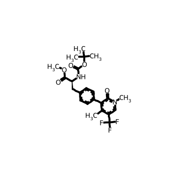 COC(=O)[C@H](Cc1ccc(-c2c(C)c(C(F)(F)F)cn(C)c2=O)cc1)NC(=O)OC(C)(C)C